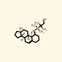 CC[C@]12C(=CC[C@H]3[C@@H]4CCC[C@@]4(C)CC[C@@H]31)CCCC2O[Si](C)(C)C(C)(C)CO